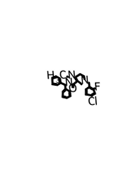 Cc1nc2c(c(=O)n1C(c1ccccc1)c1ccccc1)CN(Cc1ccc(Cl)cc1F)CC2